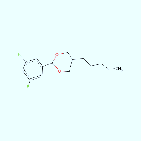 CCCCCC1COC(c2cc(F)cc(F)c2)OC1